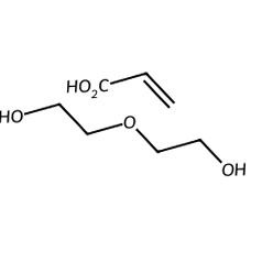 C=CC(=O)O.OCCOCCO